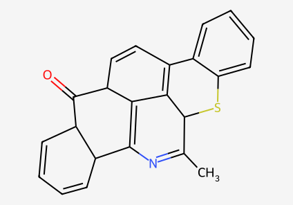 CC1=NC2=C3C4=C(C=CC3C(=O)C3C=CC=CC23)c2ccccc2SC14